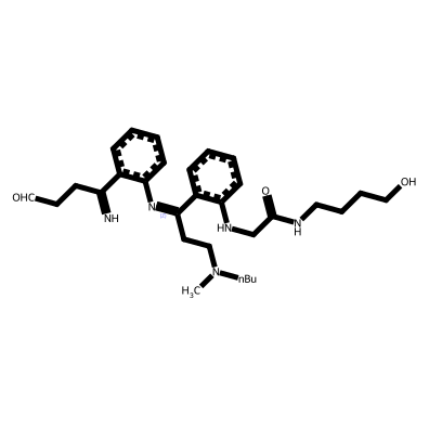 CCCCN(C)CC/C(=N/c1ccccc1C(=N)CCC=O)c1ccccc1NCC(=O)NCCCCO